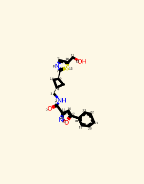 O=C(NC[C@H]1C[C@H](c2ncc(CO)s2)C1)c1cc(-c2ccccc2)on1